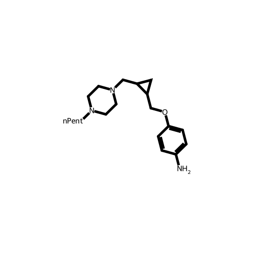 CCCCCN1CCN(CC2CC2COc2ccc(N)cc2)CC1